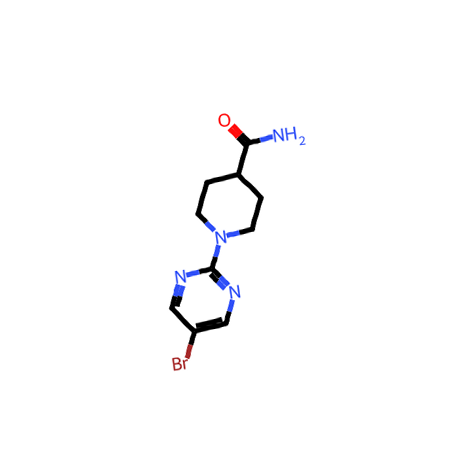 NC(=O)C1CCN(c2ncc(Br)cn2)CC1